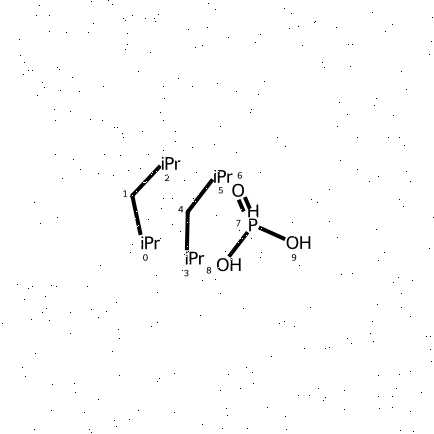 CC(C)CC(C)C.CC(C)CC(C)C.O=[PH](O)O